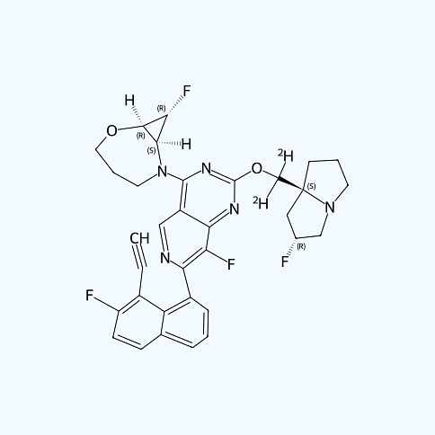 [2H]C([2H])(Oc1nc(N2CCCO[C@H]3[C@H](F)[C@H]32)c2cnc(-c3cccc4ccc(F)c(C#C)c34)c(F)c2n1)[C@@]12CCCN1C[C@H](F)C2